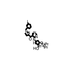 CC(C)[Si](O[C@H]1C[C@H](Nc2ncncc2C(=O)c2ccn(Cc3cccc(I)c3)n2)C[C@@H]1CO)(C(C)C)C(C)C